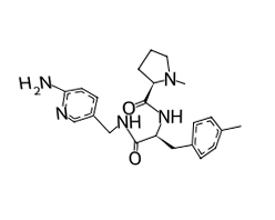 Cc1ccc(C[C@H](NC(=O)[C@H]2CCCN2C)C(=O)NCc2ccc(N)nc2)cc1